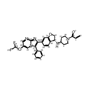 C=CC(=O)N1CCC(N[C@H]2COc3cc(-c4nc5ncc(OC(F)F)cn5c4-c4ccccc4)ccc32)CC1